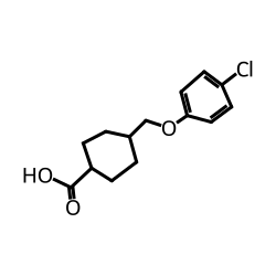 O=C(O)C1CCC(COc2ccc(Cl)cc2)CC1